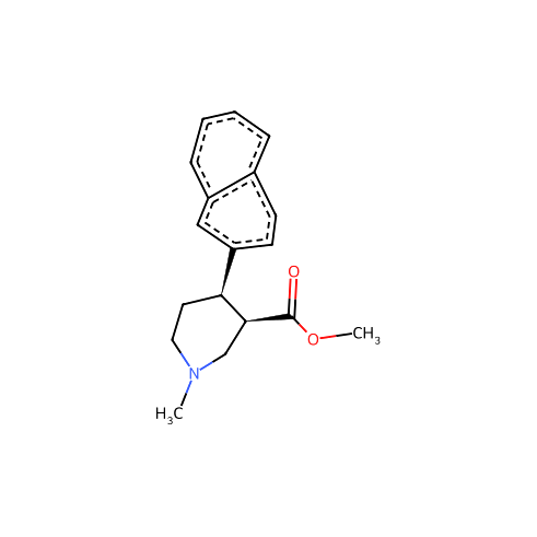 COC(=O)[C@H]1CN(C)CC[C@H]1c1ccc2ccccc2c1